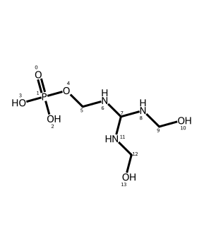 O=P(O)(O)OCNC(NCO)NCO